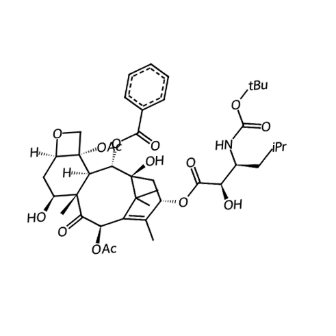 CC(=O)O[C@H]1C(=O)[C@@]2(C)[C@H]([C@H](OC(=O)c3ccccc3)[C@]3(O)C[C@H](OC(=O)[C@H](O)[C@H](CC(C)C)NC(=O)OC(C)(C)C)C(C)=C1C3(C)C)[C@]1(OC(C)=O)CO[C@@H]1C[C@@H]2O